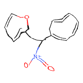 O=[N+]([O-])[C](c1ccccc1)c1ccco1